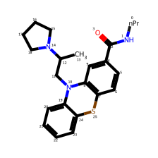 CCCNC(=O)c1ccc2c(c1)N(CC(C)N1CCCC1)c1ccccc1S2